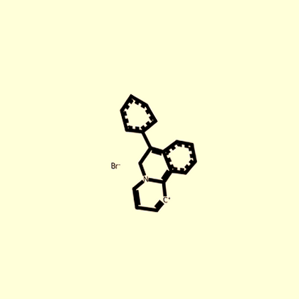 [Br-].[C+]1=CC=CN2CC(c3ccccc3)=c3ccccc3=C12